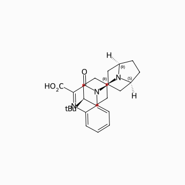 CC(C)(C)[C@H]1CC[C@@H](N2[C@@H]3CC[C@H]2C[C@@H](n2c(=O)c(C(=O)O)nc4ccccc42)C3)CC1